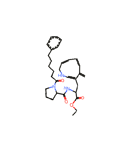 C=C1/C=C\C=C/CN/C=C\1CC(NC(=O)C1CCCN1C(=O)CCCCCc1ccccc1)C(=O)OCC